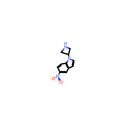 O=[N+]([O-])c1ccc2c(ccn2C2CNC2)c1